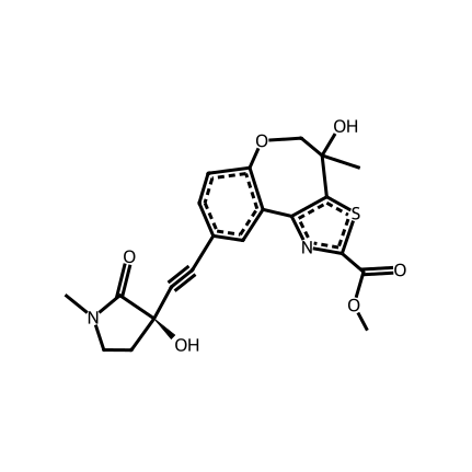 COC(=O)c1nc2c(s1)C(C)(O)COc1ccc(C#C[C@]3(O)CCN(C)C3=O)cc1-2